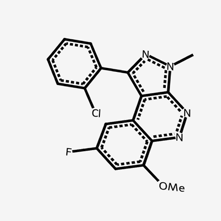 COc1cc(F)cc2c1nnc1c2c(-c2ccccc2Cl)nn1C